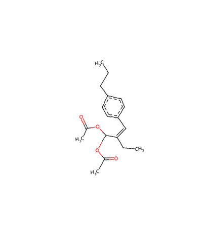 CCCc1ccc(C=C(CC)C(OC(C)=O)OC(C)=O)cc1